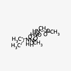 CCCCC(CC)CNC(=O)Nc1cc(NC(=O)NC(C)CCC(=O)OCC)ccc1C